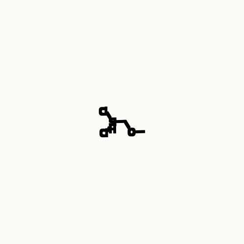 COC[SiH](Cl)Cl